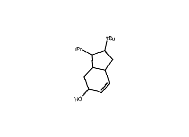 CC(C)C1C2CC(O)C=CC2CC1C(C)(C)C